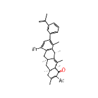 C=C(C)c1cccc(-c2cc(C(C)C)c3c(c2C)[C@H](C)C2=C(C)[C@@]4(C)C(=O)C(C(C)=O)=C(C)C[C@@]4(C)C[C@@]2(C)C3)c1